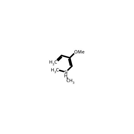 C=CC(=C[SiH](C)C)OC